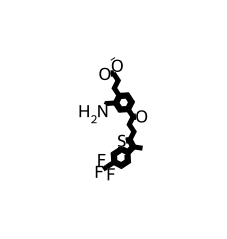 COC(=O)CCc1ccc(C(=O)CCc2sc3cc(C(F)(F)F)ccc3c2C)cc1CN